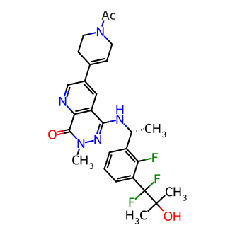 CC(=O)N1CC=C(c2cnc3c(=O)n(C)nc(N[C@H](C)c4cccc(C(F)(F)C(C)(C)O)c4F)c3c2)CC1